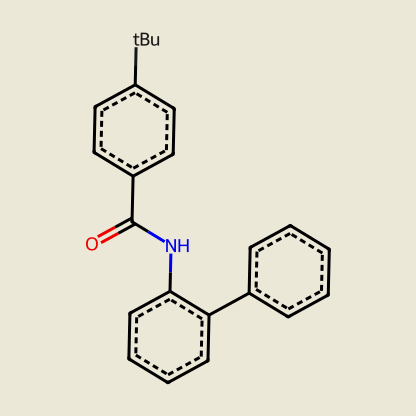 CC(C)(C)c1ccc(C(=O)Nc2ccccc2-c2ccccc2)cc1